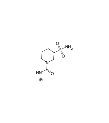 CC(C)NC(=O)N1CCCC(S(N)(=O)=O)C1